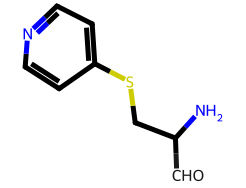 NC(C=O)CSc1ccncc1